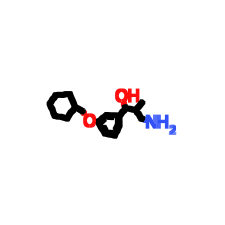 CC(CN)C(O)c1cccc(OCC2CCCCC2)c1